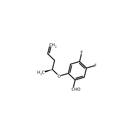 C=CC[C@H](C)Oc1cc(F)c(F)cc1C=O